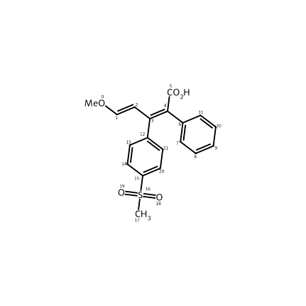 COC=CC(=C(C(=O)O)c1ccccc1)c1ccc(S(C)(=O)=O)cc1